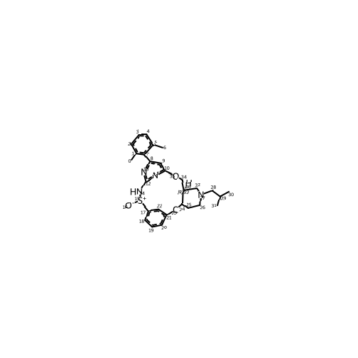 Cc1cccc(C)c1-c1cc2nc(n1)N[S+]([O-])c1cccc(c1)CC1CCN(CC(C)C)C[C@@H]1CO2